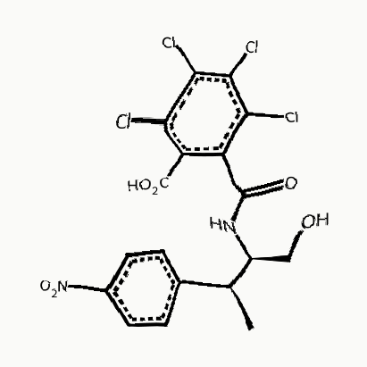 C[C@@H](c1ccc([N+](=O)[O-])cc1)[C@H](CO)NC(=O)c1c(Cl)c(Cl)c(Cl)c(Cl)c1C(=O)O